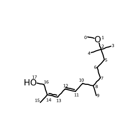 COC(C)(C)CCCC(C)CC=CC=C(C)CO